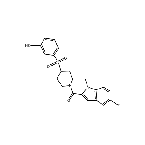 Cn1c(C(=O)N2CCC(S(=O)(=O)c3cccc(O)c3)CC2)cc2cc(F)ccc21